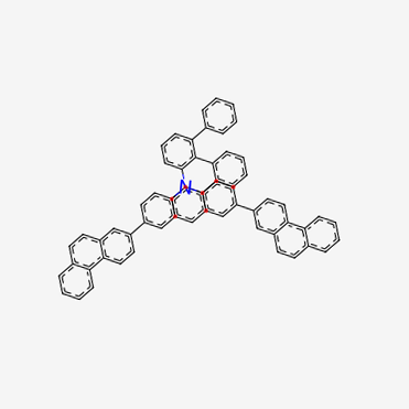 c1ccc(-c2ccccc2-c2c(-c3ccccc3)cccc2N(c2ccc(-c3ccc4c(ccc5ccccc54)c3)cc2)c2ccc(-c3ccc4c(ccc5ccccc54)c3)cc2)cc1